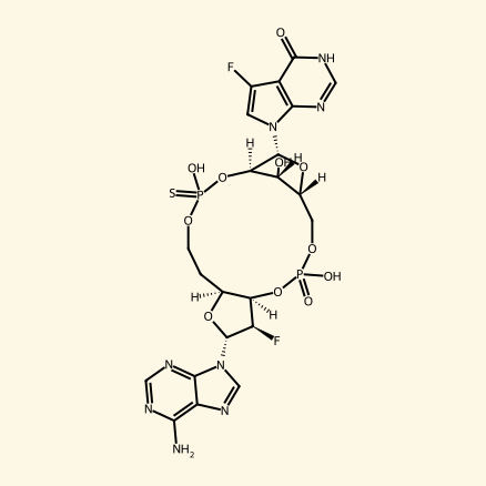 Nc1ncnc2c1ncn2[C@@H]1O[C@H]2CCOP(O)(=S)O[C@@H]3[C@H](O)[C@@H](COP(=O)(O)O[C@H]2[C@H]1F)O[C@H]3n1cc(F)c2c(=O)[nH]cnc21